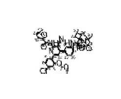 COCOc1cc(Cl)ccc1-c1cc(-c2cccc(NC(=O)C3(N(C(=O)O)C(C)(C)C)CCC3)c2)c(C#N)c(NC(=O)c2ccco2)n1